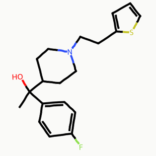 CC(O)(c1ccc(F)cc1)C1CCN(CCc2cccs2)CC1